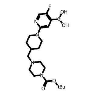 CC(C)(C)OC(=O)N1CCN(CC2CCN(c3cc(B(O)O)c(F)cn3)CC2)CC1